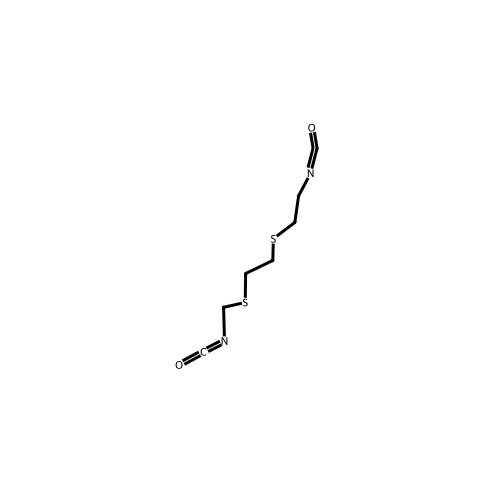 O=C=NCCSCCSCN=C=O